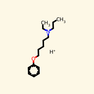 CCCN(CC)CCCCCOc1ccccc1.[H+]